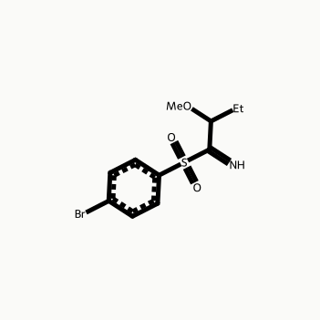 CCC(OC)C(=N)S(=O)(=O)c1ccc(Br)cc1